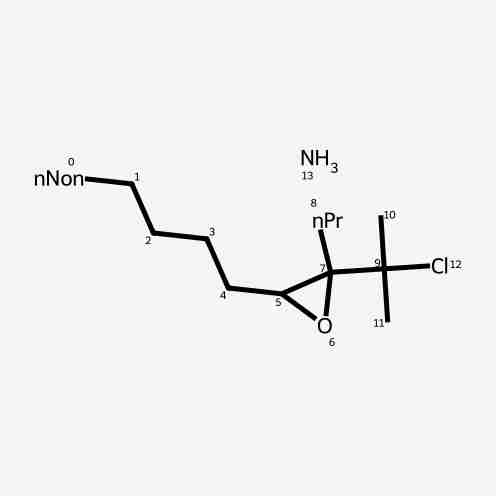 CCCCCCCCCCCCCC1OC1(CCC)C(C)(C)Cl.N